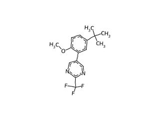 COc1ccc(C(C)(C)C)cc1-c1cnc(C(F)(F)F)nc1